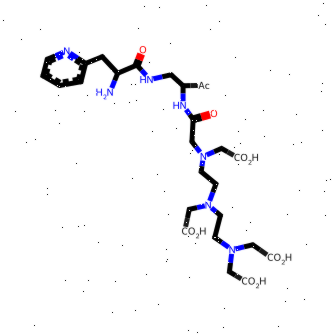 CC(=O)C(CNC(=O)C(N)Cc1ccccn1)NC(=O)CN(CCN(CCN(CC(=O)O)CC(=O)O)CC(=O)O)CC(=O)O